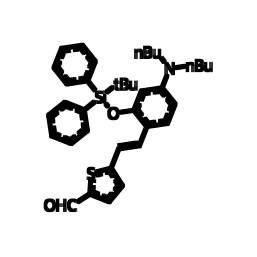 CCCCN(CCCC)c1ccc(/C=C/c2ccc(C=O)s2)c(O[Si](c2ccccc2)(c2ccccc2)C(C)(C)C)c1